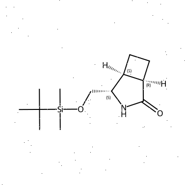 CC(C)(C)[Si](C)(C)OC[C@H]1NC(=O)[C@@H]2CC[C@H]12